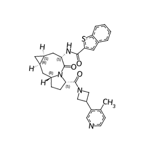 Cc1ccncc1C1CN(C(=O)[C@@H]2CC[C@@H]3C[C@H]4C[C@H]4C[C@H](NC(=O)c4cc5ccccc5s4)C(=O)N32)C1